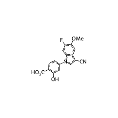 COc1cc2c(C#N)cn(-c3ccc(C(=O)O)c(O)c3)c2cc1F